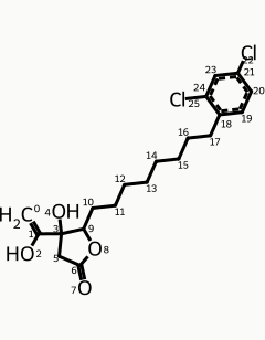 C=C(O)C1(O)CC(=O)OC1CCCCCCCCc1ccc(Cl)cc1Cl